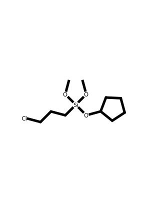 CO[Si](CCCCl)(OC)OC1CCCC1